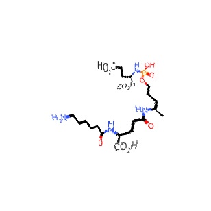 C[C@H](CCCOP(=O)(O)N[C@@H](CCC(=O)O)C(=O)O)NC(=O)CC[C@H](NC(=O)CCCCCN)C(=O)O